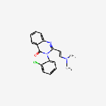 CN(C)C=Cc1nc2ccccc2c(=O)n1-c1ccccc1Cl